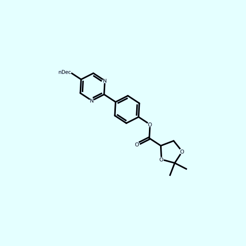 CCCCCCCCCCc1cnc(-c2ccc(OC(=O)C3COC(C)(C)O3)cc2)nc1